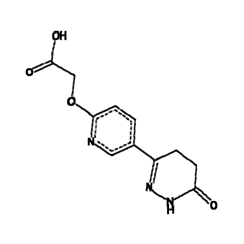 O=C(O)COc1ccc(C2=NNC(=O)CC2)cn1